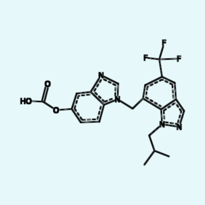 CC(C)Cn1ncc2cc(C(F)(F)F)cc(Cn3cnc4cc(OC(=O)O)ccc43)c21